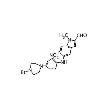 CCN1CCN(c2ccc(Nc3cc4cc(C=O)n(C)c4cn3)c([N+](=O)[O-])c2)CC1